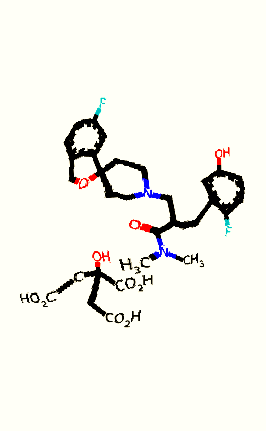 CN(C)C(=O)C(Cc1cc(O)ccc1F)CN1CCC2(CC1)OCc1ccc(F)cc12.O=C(O)CC(O)(CC(=O)O)C(=O)O